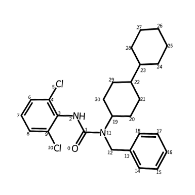 O=C(Nc1c(Cl)cccc1Cl)N(Cc1ccccc1)C1CCC(C2CCCCC2)CC1